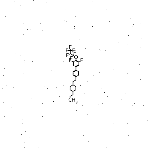 CCCC1CCC(CCc2ccc(-c3cc(F)c(OC(F)(F)C(F)C(F)(F)F)c(F)c3)cc2)CC1